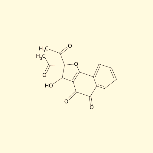 CC(=O)C1(C(C)=O)OC2=C(C(=O)C(=O)c3ccccc32)C1O